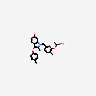 Cc1ccc(Oc2c(C)n(Cc3ccc(C)c(O[C@@H](C)C(=O)O)c3)c3cc(O)ccc23)cc1